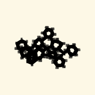 c1ccc(N(c2ccccc2)c2ccc3c(c2)C2(c4cc(N(c5ccccc5)c5ccccc5)ccc4-c4ccccc4-3)c3ccccc3-c3cc4oc5ccccc5c4cc32)cc1